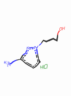 Cl.Nc1ccn(CCO)n1